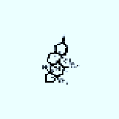 CC(=O)O[C@H]1C[C@]2(C)CCC[C@H]2[C@@H]2CCC3=CC(=O)C=C[C@]3(C)C12F